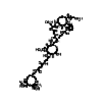 CC1(C)NCCN(CCNC(=O)CCC(=O)NCCCC[C@H]2N[C@H](O)CSC[C@@H]([C@@H](O)N[C@@H](CCCNC(=N)N)C(=O)NCC(=O)N[C@@H](CC(=O)O)C(=O)N[C@H]3CSSC[C@@H](C(=O)NCC(=O)O)N[C@@H](O)[C@H](Cc4ccccc4)NC3O)NC(=O)[C@H](CC(=O)O)N[C@@H]2O)CCNC(C)(C)/C(=N\O)C/C1=N/O